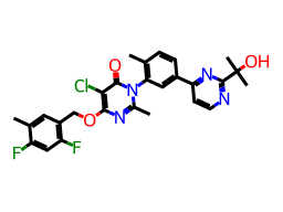 Cc1cc(COc2nc(C)n(-c3cc(-c4ccnc(C(C)(C)O)n4)ccc3C)c(=O)c2Cl)c(F)cc1F